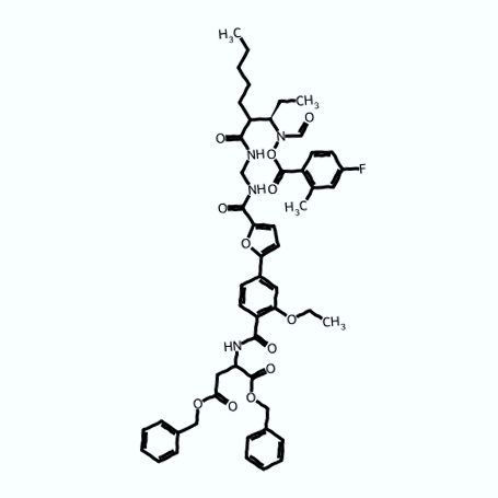 CCCCCC(C(=O)NCNC(=O)c1ccc(-c2ccc(C(=O)NC(CC(=O)OCc3ccccc3)C(=O)OCc3ccccc3)c(OCC)c2)o1)[C@@H](CC)N(C=O)OC(=O)c1ccc(F)cc1C